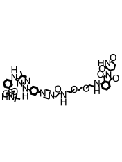 Cc1cnc(Nc2ccc(N3CCN(CC(=O)NCCOCCOCCNc4cccc5c4C(=O)N(C4CCC(=O)NC4=O)C5=O)CC3)cc2)nc1Nc1cccc(S(=O)(=O)NC(C)(C)C)c1